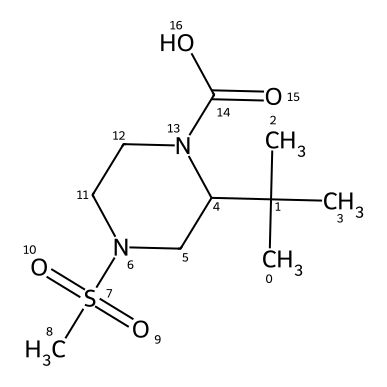 CC(C)(C)C1CN(S(C)(=O)=O)CCN1C(=O)O